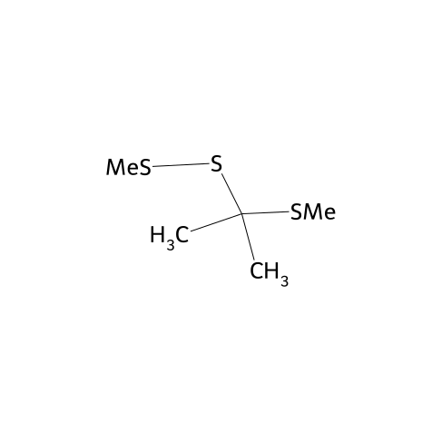 CSSC(C)(C)SC